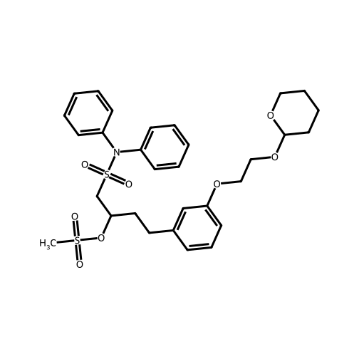 CS(=O)(=O)OC(CCc1cccc(OCCOC2CCCCO2)c1)CS(=O)(=O)N(c1ccccc1)c1ccccc1